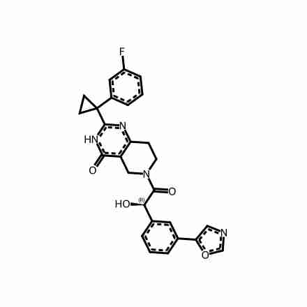 O=C([C@H](O)c1cccc(-c2cnco2)c1)N1CCc2nc(C3(c4cccc(F)c4)CC3)[nH]c(=O)c2C1